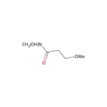 COCCC(=O)N(C)O